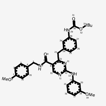 COc1ccc(CNC(=O)c2cnc(Nc3cccc(OC)c3)nc2Cc2cccc(NC(=O)OC(C)(C)C)c2)cc1